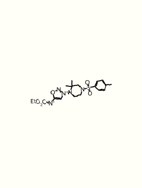 CCOC(=O)[N-]c1c[n+](N2CCN(S(=O)(=O)c3ccc(C)cc3)CC2(C)C)no1